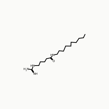 CCCCCCCCCCNC(=O)CCCCNC(=N)N